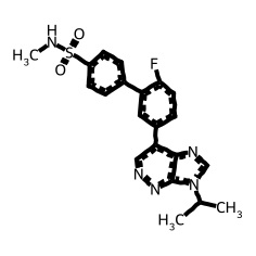 CNS(=O)(=O)c1ccc(-c2cc(-c3cnnc4c3ncn4C(C)C)ccc2F)cc1